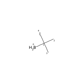 BC(C)(C)I